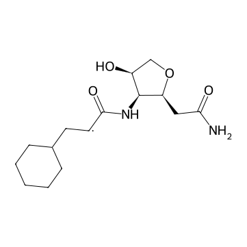 NC(=O)C[C@@H]1OC[C@H](O)[C@@H]1NC(=O)[CH]CC1CCCCC1